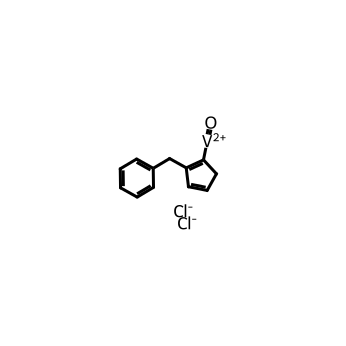 [Cl-].[Cl-].[O]=[V+2][C]1=C(Cc2ccccc2)C=CC1